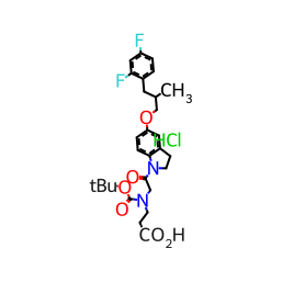 CC(COc1ccc2c(c1)CCN2C(=O)CN(CCC(=O)O)C(=O)OC(C)(C)C)Cc1ccc(F)cc1F.Cl